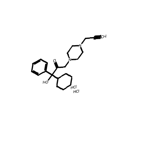 C#CCN1CCN(CC(=O)C(O)(c2ccccc2)C2CCCCC2)CC1.Cl.Cl